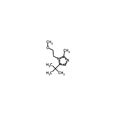 COCCn1c(C(C)(C)C)cnc1C